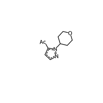 CC(=O)c1ccnn1C1CCOCC1